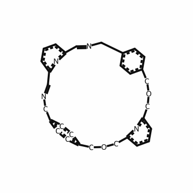 C1=N/Cc2ccc(cc2)COCc2cccc(n2)COCc2ccc(cc2)C/N=C/c2cccc/1n2